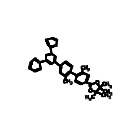 Cc1cc(B2OC(C)(C)C(C)(C)O2)ccc1-c1ccc(-c2cc(-c3ccccc3)cc(-c3ccccc3)c2)cc1C